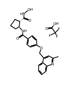 Cc1cc(COc2ccc(C(=O)N[C@H]3CCC[C@@H]3C(=O)NO)cc2)c2ccccc2n1.O=C(O)C(F)(F)F